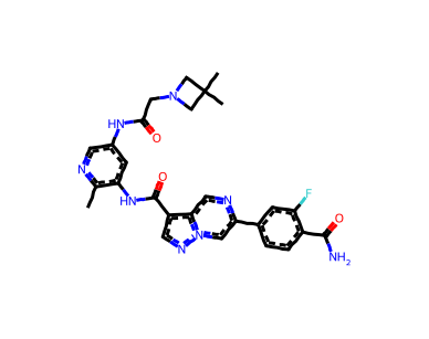 Cc1ncc(NC(=O)CN2CC(C)(C)C2)cc1NC(=O)c1cnn2cc(-c3ccc(C(N)=O)c(F)c3)ncc12